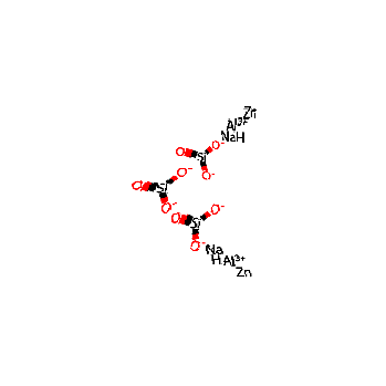 O=[Si]([O-])[O-].O=[Si]([O-])[O-].O=[Si]([O-])[O-].[Al+3].[Al+3].[NaH].[NaH].[Zn].[Zn]